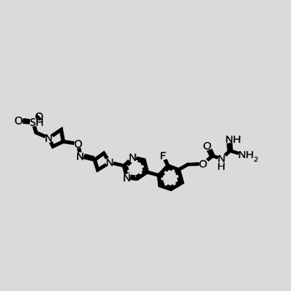 N=C(N)NC(=O)OCc1cccc(-c2cnc(N3CC(=NOC4CN(C[SH](=O)=O)C4)C3)nc2)c1F